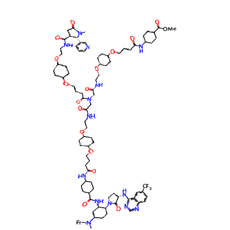 COC(=O)C1CCC(NC(=O)CCCOC2CCC(OCCNC(=O)CN(CC(=O)NCCOC3CCC(OCCCC(=O)NC4CCC(C(=O)N[C@@H]5C[C@H](N(C)C(C)C)CC[C@@H]5N5CC[C@H](Nc6ncnc7ccc(C(F)(F)F)cc67)C5=O)CC4)CC3)C(=O)CCCOC3CCC(OCCNC(=O)[C@H]4CC(=O)N(C)[C@@H]4c4cccnc4)CC3)CC2)CC1